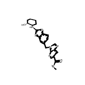 CNC(=O)c1cnc2c(c1)ncn2Cc1ccc2nc(N[C@@H]3CCCC[C@H]3O)sc2c1